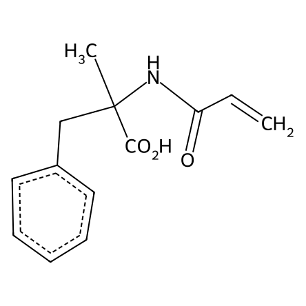 C=CC(=O)NC(C)(Cc1ccccc1)C(=O)O